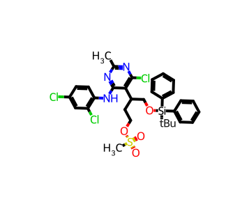 Cc1nc(Cl)c(C(CCOS(C)(=O)=O)CO[Si](c2ccccc2)(c2ccccc2)C(C)(C)C)c(Nc2ccc(Cl)cc2Cl)n1